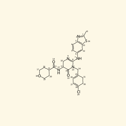 Cc1nc2ccc(NC3=NCC(NC(=O)C4CCOCC4)C(=O)N3CC3=CC=C(Cl)CC3)cc2s1